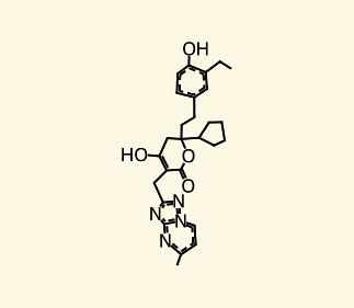 CCc1cc(CCC2(C3CCCC3)CC(O)=C(Cc3nc4nc(C)ccn4n3)C(=O)O2)ccc1O